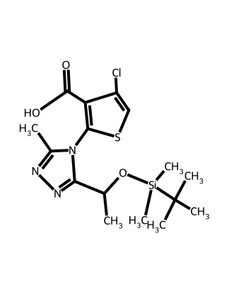 Cc1nnc(C(C)O[Si](C)(C)C(C)(C)C)n1-c1scc(Cl)c1C(=O)O